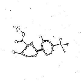 COC(=O)c1nc(-c2ccc(C(F)(F)F)cc2Cl)ncc1Cl